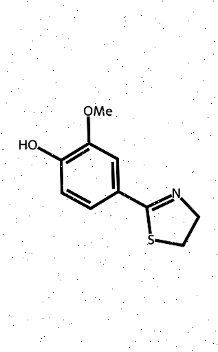 COc1cc(C2=NCCS2)ccc1O